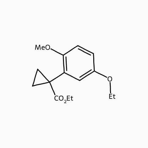 CCOC(=O)C1(c2cc(OCC)ccc2OC)CC1